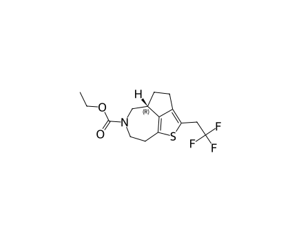 CCOC(=O)N1CCc2sc(CC(F)(F)F)c3c2[C@@H](CC3)C1